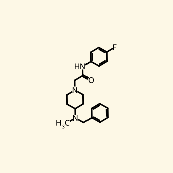 CN(Cc1ccccc1)C1CCN(CC(=O)Nc2ccc(F)cc2)CC1